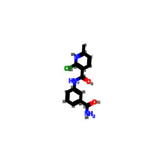 Cc1ccc(C(=O)Nc2cccc(C(N)=O)c2)c(Cl)n1